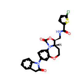 O=C(NC[C@@H]1OC(=O)N2c3ccc(N4C(=O)Cc5ccccc54)cc3OCC[C@@H]12)c1ccc(Cl)s1